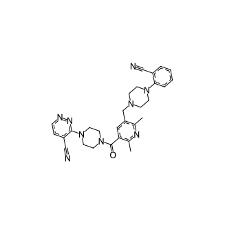 Cc1nc(C)c(C(=O)N2CCN(c3nnccc3C#N)CC2)cc1CN1CCN(c2ccccc2C#N)CC1